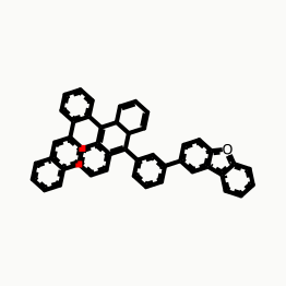 C1=CC2C(c3cccc(-c4ccc5oc6ccccc6c5c4)c3)=c3ccccc3=C(c3ccccc3-c3ccc4ccccc4c3)C2C=C1